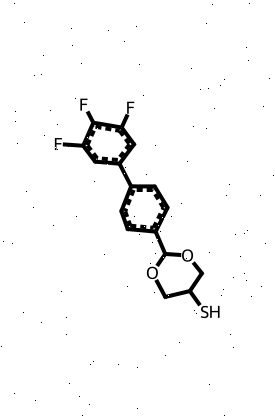 Fc1cc(-c2ccc(C3OCC(S)CO3)cc2)cc(F)c1F